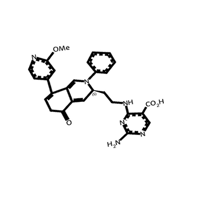 COc1cc(C2=CCC(=O)C3=C[C@H](CCNc4nc(N)ncc4C(=O)O)N(c4ccccc4)C=C32)ccn1